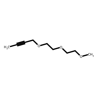 CC#CCOCCOCCOC